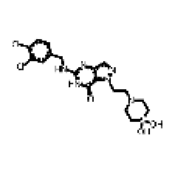 O=c1[nH]c(NCc2ccc(Cl)c(Cl)c2)nc2cnn(CCN3CCS(O)(O)CC3)c12